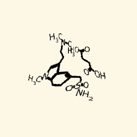 CN(C)CCc1cn(C)c2ccc(CS(N)(=O)=O)cc12.O=C(O)CCC(=O)O